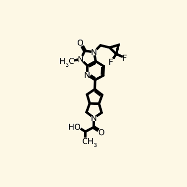 CC(O)C(=O)N1CC2C=C(c3ccc4c(n3)n(C)c(=O)n4CC3CC3(F)F)CC2C1